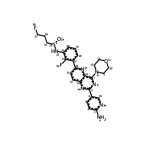 Nc1ccc(-c2nc(N3CCOCC3)c3nc(-c4cccc(N[S+]([O-])CCCF)c4F)ccc3n2)cn1